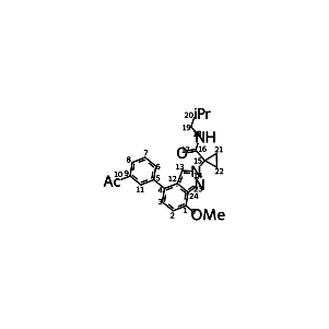 COc1ccc(-c2cccc(C(C)=O)c2)c2cn(C3(C(=O)NCC(C)C)CC3)nc12